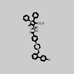 Cc1c(S(=O)(=O)NC(=O)c2ccc(N3CCN(Cc4ccccc4-c4ccc(Cl)cc4)CC3)cc2)c(C(=O)O)c(-c2ccccc2)n1-c1ccccc1